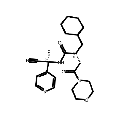 C[C@](C#N)(NC(=O)[C@@H](CC(=O)N1CCOCC1)CC1CCCCC1)c1ccncc1